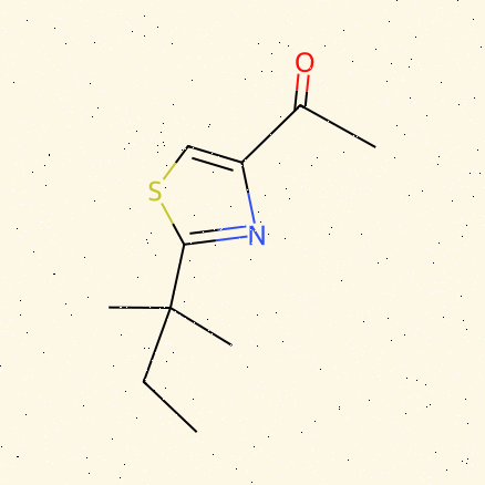 CCC(C)(C)c1nc(C(C)=O)cs1